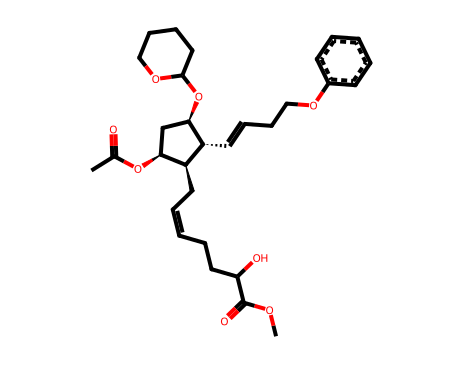 COC(=O)C(O)CC/C=C\C[C@@H]1[C@@H](/C=C/CCOc2ccccc2)[C@H](OC2CCCCO2)C[C@@H]1OC(C)=O